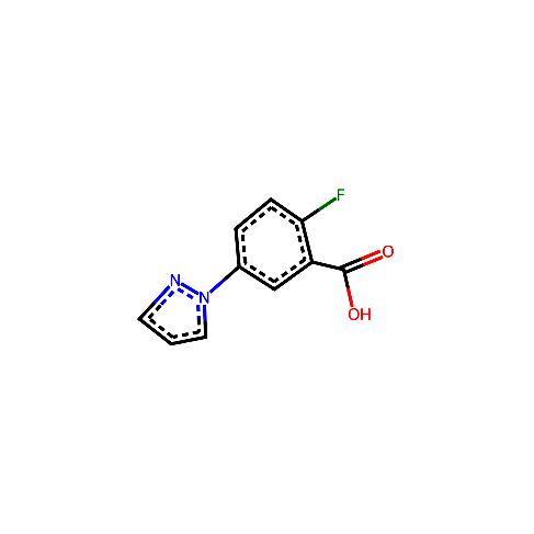 O=C(O)c1cc(-n2cccn2)ccc1F